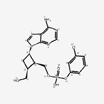 Nc1ncnc2c1ncn2[C@@H]1C[C@H](CO)[C@@H]1COP(=O)(O)Oc1cccc(Cl)c1